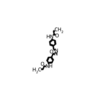 C=CC(=O)Nc1ccc(-c2nnc(-c3ccc(NC(=O)C=C)cc3)o2)cc1